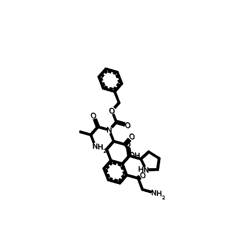 CC(N)C(=O)N(C(=O)OCc1ccccc1)C(Cc1cccc(C(=O)CN)c1C(=O)C1CCCN1)C(=O)O